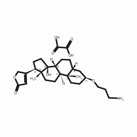 C[C@]12CC[C@H](OCCCN)C[C@H]1CC[C@@H]1[C@@H]2CC[C@]2(C)[C@@H](C3=CC(=O)OC3)CC[C@]12O.O=C(O)C(=O)O